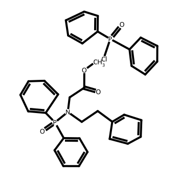 COC(=O)CN(CCc1ccccc1)P(=O)(c1ccccc1)c1ccccc1.O=P(Cl)(c1ccccc1)c1ccccc1